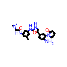 Cc1cc(NC(=O)CN(C)C)cc(NC2NC=C(c3ccc(N)c(-n4ccccc4=O)c3)O2)c1